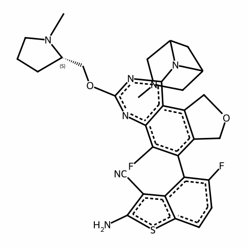 CN1CC2CC(C1)N2c1nc(OC[C@@H]2CCCN2C)nc2c(F)c(-c3c(F)ccc4sc(N)c(C#N)c34)c3c(c12)COC3